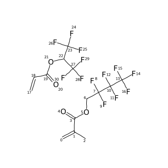 C=C(C)C(=O)OCC(F)(F)C(F)(F)C(F)(F)F.C=CC(=O)OC(C(F)(F)F)C(F)(F)F